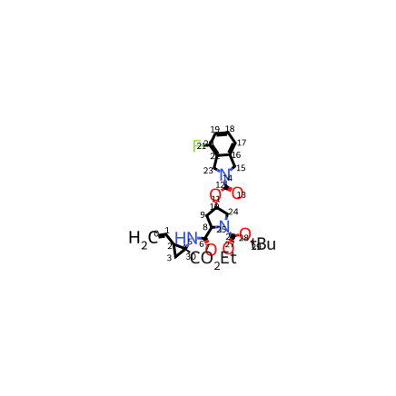 C=CC1C[C@]1(NC(=O)C1C[C@@H](OC(=O)N2Cc3cccc(F)c3C2)CN1C(=O)OC(C)(C)C)C(=O)OCC